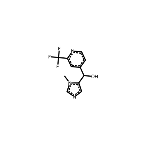 Cn1cncc1C(O)c1ccnc(C(F)(F)F)c1